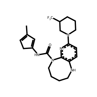 CC1=CCC(NC(=O)N2CCCCNc3ccc(N4CCCC(C(F)(F)F)C4)nc32)=C1